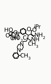 Cc1ccccc1N1CCN(CCC2(C(=O)O)C(C)NC(N)=C(C(=O)OC(C)C)C2c2cccc([N+](=O)[O-])c2)CC1.O=C(O)C(=O)O